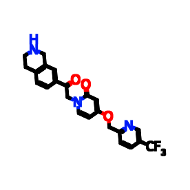 O=C(Cn1ccc(OCc2ccc(C(F)(F)F)cn2)cc1=O)c1ccc2c(c1)CNCC2